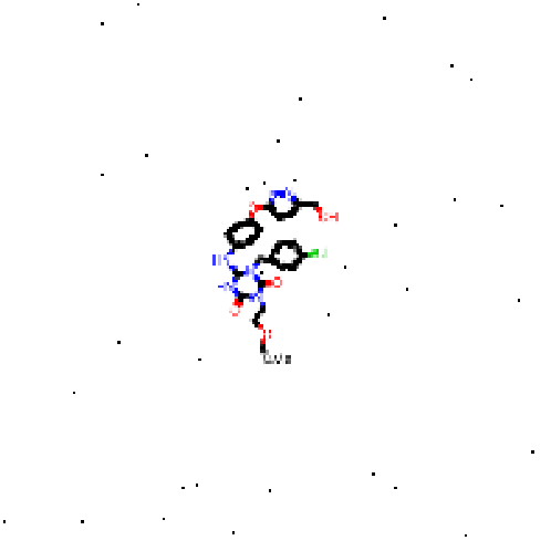 COCOCCN1C(=O)NC(Nc2ccc(Oc3ccc(CO)nn3)cc2)N(Cc2ccc(Cl)cc2)C1=O